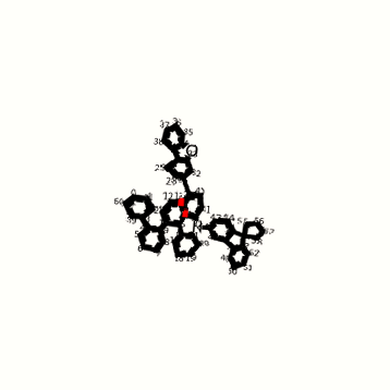 c1ccc(-c2ccccc2-c2ccccc2-c2ccccc2N(c2ccc(-c3ccc4c(c3)oc3ccccc34)cc2)c2ccc3c(c2)-c2ccccc2C32CCCC2)cc1